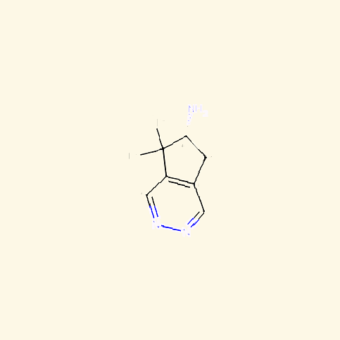 CC(C)C1(C(C)C)c2cnncc2C[C@H]1N